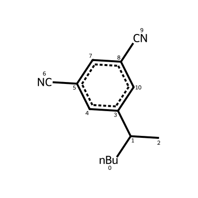 CCCCC(C)c1cc(C#N)cc(C#N)c1